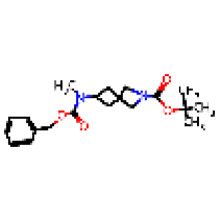 CN(C(=O)OCc1ccccc1)C1CC2(C1)CN(C(=O)OC(C)(C)C)C2